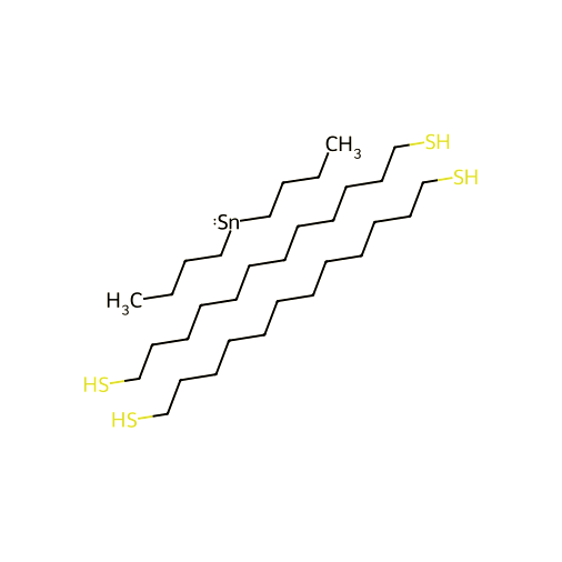 CCC[CH2][Sn][CH2]CCC.SCCCCCCCCCCCCS.SCCCCCCCCCCCCS